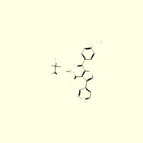 Cn1nc(-c2ccc(O)cc2)c2scc(-c3ccncc3)c2c1=O.O=C(O)C(F)(F)F